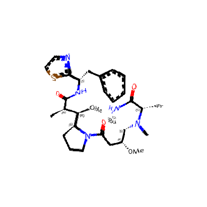 CC[C@H](C)[C@@H]([C@@H](CC(=O)N1CCC[C@H]1[C@H](OC)[C@@H](C)C(=O)N[C@@H](Cc1ccccc1)c1nccs1)OC)N(C)[C@H](C(N)=O)C(C)C